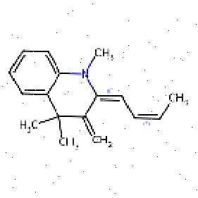 C=C1/C(=C\C=C/C)N(C)c2ccccc2C1(C)C